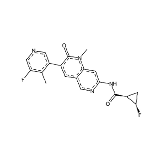 Cc1c(F)cncc1-c1cc2cnc(NC(=O)[C@H]3C[C@H]3F)cc2n(C)c1=O